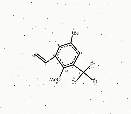 C=Cc1cc(C(C)(C)C)cc(C(CC)(CC)CC)c1OC